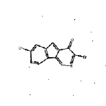 O=C1C2=Cc3cc(Br)ccc3C2=CN=C1Br